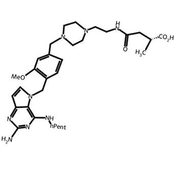 CCCCCNc1nc(N)nc2ccn(Cc3ccc(CN4CCN(CCNC(=O)C[C@@H](C)C(=O)O)CC4)cc3OC)c12